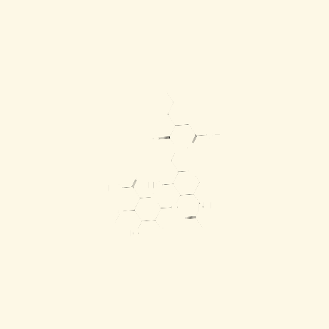 CCCC(C(=O)OCC1O[C@H](C)C(NC(C)=O)C(OC2OC(C(=O)O)C(OC)C(O)C2O)C1O)[C@H](C)C(=O)O